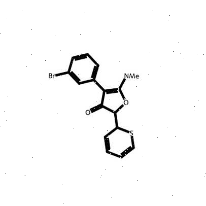 CNC1=C(c2cccc(Br)c2)C(=O)C(C2C=CC=CS2)O1